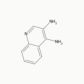 Nc1cnc2ccccc2c1N